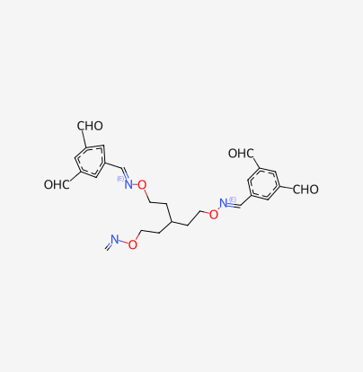 C=NOCCC(CCO/N=C/c1cc(C=O)cc(C=O)c1)CCO/N=C/c1cc(C=O)cc(C=O)c1